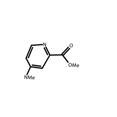 CNc1ccnc(C(=O)OC)c1